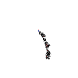 C/C=C/C1CCC(c2ccc(OCOCCCCCC(CCCCCCCOc3ccc(-c4ccc(F)c(F)c4)c(F)c3F)C(F)=C(F)F)c(F)c2F)CC1